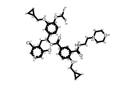 O=C(O[C@@H](Cc1c(Cl)cncc1Cl)c1ccc(OC(F)F)c(OCC2CC2)c1)c1ccc(OCC2CC2)c(C(=O)NCCN2CCOCC2)c1